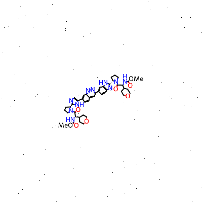 COC(=O)N[C@H](C(=O)N1CCC[C@H]1c1ncc(-c2ccc3cc(-c4ccc5nc([C@@H]6CCCN6C(=O)[C@@H](NC(=O)OC)C6CCOCC6)[nH]c5c4)nnc3c2)[nH]1)C1CCOCC1